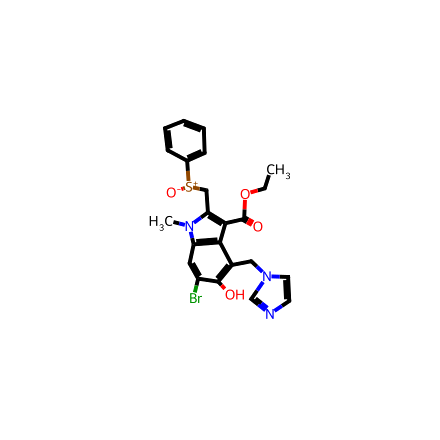 CCOC(=O)c1c(C[S+]([O-])c2ccccc2)n(C)c2cc(Br)c(O)c(Cn3ccnc3)c12